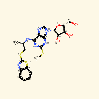 CSc1nc(N[C@H](C)CSc2nc3ccccc3s2)c2ncn([C@@H]3O[C@H](CO)C(O)C3O)c2n1